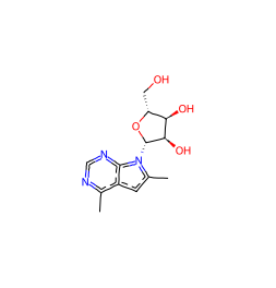 Cc1ncnc2c1cc(C)n2[C@@H]1O[C@H](CO)[C@@H](O)[C@H]1O